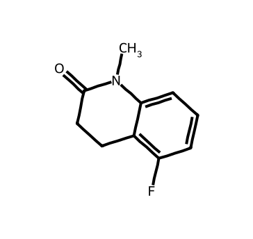 CN1C(=O)CCc2c(F)cccc21